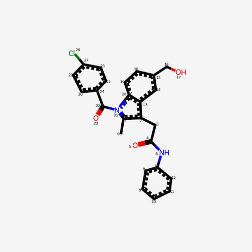 Cc1c(CC(=O)Nc2ccccc2)c2cc(CO)ccc2n1C(=O)c1ccc(Cl)cc1